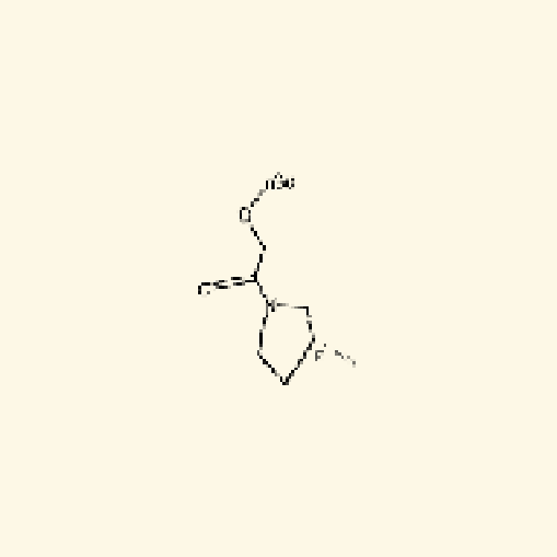 CCCCOCC(=O)N1CC[C@@H](C)C1